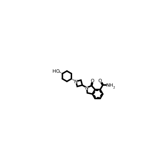 NC(=O)c1cccc2c1C(=O)N(C1CN([C@H]3CC[C@@H](O)CC3)C1)C2